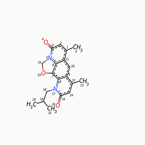 Cc1cc(=O)n2c3c(c4c(cc13)c(C)cc(=O)n4CC(C)C)OC2